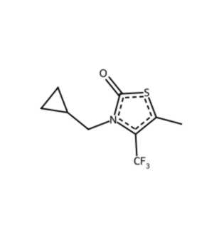 Cc1sc(=O)n(CC2CC2)c1C(F)(F)F